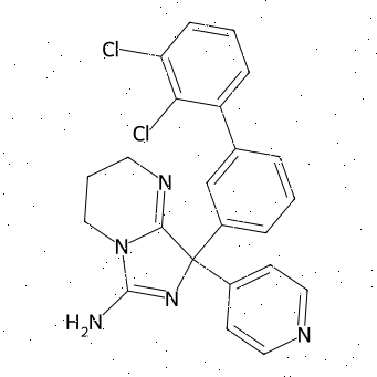 NC1=NC(c2ccncc2)(c2cccc(-c3cccc(Cl)c3Cl)c2)C2=NCCCN12